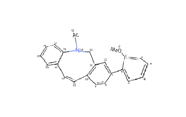 COc1ccccc1-c1ccc2c(c1)CN(C(C)=O)c1ccccc1C=C2